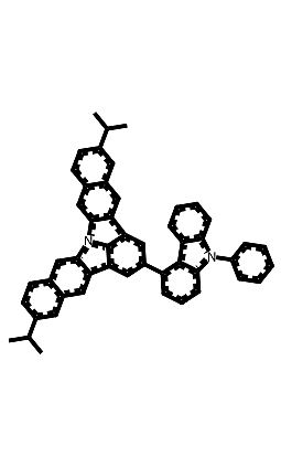 CC(C)c1ccc2cc3c(cc2c1)c1cc(-c2cccc4c2c2ccccc2n4-c2ccccc2)cc2c4cc5cc(C(C)C)ccc5cc4n3c12